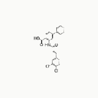 O=C(/C=C/c1ccc(Cl)c(Cl)c1)Nc1cc(-c2ccccc2)ccc1C(=O)O